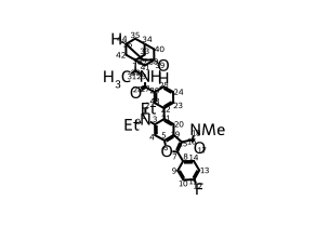 CCN(CC)c1cc2oc(-c3ccc(F)cc3)c(C(=O)NC)c2cc1-c1cccc(C(=O)NC(C)[C@@]23CC4C[C@H](C[C@@](O)(C4)C2)C3)c1